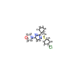 Clc1ccc(SCc2ccccc2-c2nccc(N3CCOCC3)n2)cc1